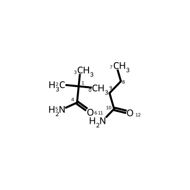 CC(C)(C)C(N)=O.CCCC(N)=O